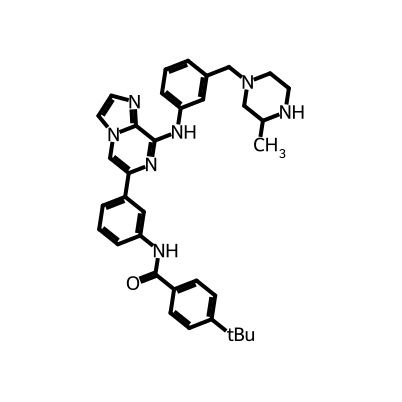 CC1CN(Cc2cccc(Nc3nc(-c4cccc(NC(=O)c5ccc(C(C)(C)C)cc5)c4)cn4ccnc34)c2)CCN1